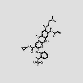 C=CC(=O)Nc1cc(Nc2ncc(C(=O)OC3CC3)c(Nc3ccccc3N(C)S(C)(=O)=O)n2)c(OC)cc1N(C)CCN(C)C